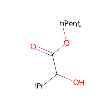 CCCCCOC(=O)C(O)C(C)C